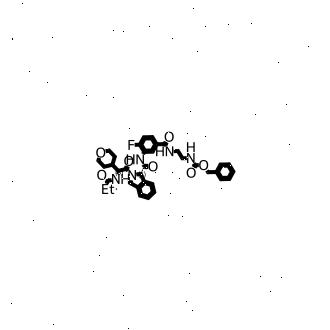 C[CH]C(=O)N[C@H](C(=O)N1Cc2ccccc2[C@H]1C(=O)Nc1cc(C(=O)NCCNC(=O)OCc2ccccc2)ccc1F)C1CCOCC1